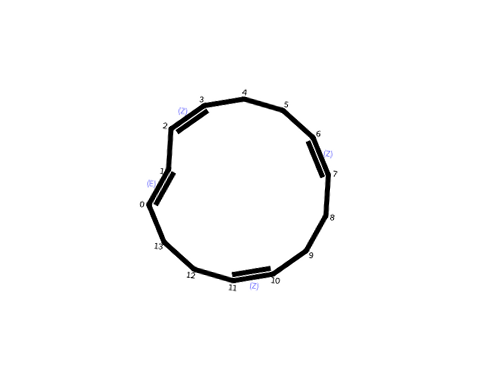 [C]1=C/C=C\CC/C=C\CC/C=C\CC/1